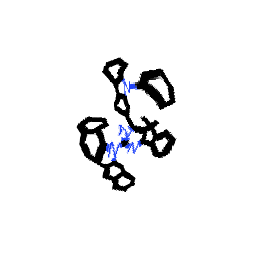 CC1(C)c2ccccc2-c2nc(-n3c4cc5c(cc4c4ccc6ccccc6c43)=CCCC=5)nc(-c3ccc4c5ccccc5n(-c5ccccc5)c4c3)c21